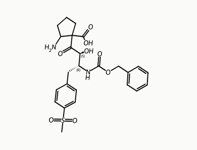 CS(=O)(=O)c1ccc(C[C@@H](NC(=O)OCc2ccccc2)[C@H](O)C(=O)C2(C(=O)O)CCCC2N)cc1